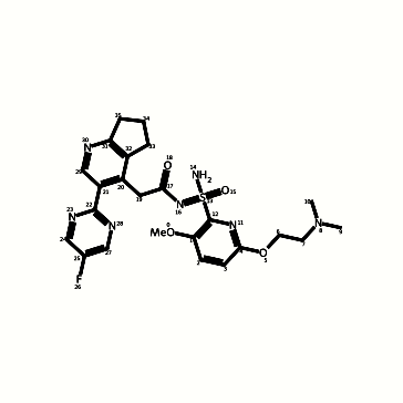 COc1ccc(OCCN(C)C)nc1S(N)(=O)=NC(=O)Cc1c(-c2ncc(F)cn2)cnc2c1CCC2